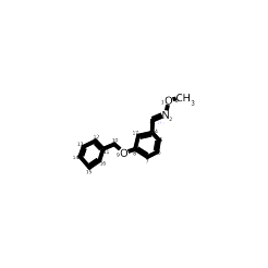 CO/N=C/c1cccc(OCc2ccccc2)c1